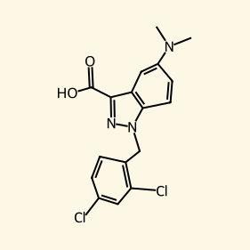 CN(C)c1ccc2c(c1)c(C(=O)O)nn2Cc1ccc(Cl)cc1Cl